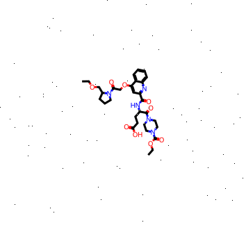 CCOCC1CCCN1C(=O)COc1cc(C(=O)NC(CCC(=O)O)C(=O)N2CCN(C(=O)OCC)CC2)nc2ccccc12